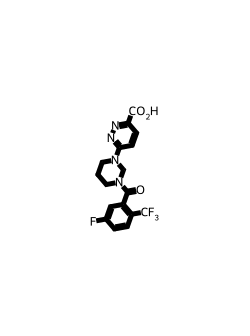 O=C(O)c1ccc(N2CCCN(C(=O)c3cc(F)ccc3C(F)(F)F)C2)nn1